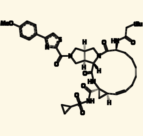 COc1ccc(-c2csc(C(=O)N3C[C@H]4CN5C(=O)[C@@H](NC(=O)CC(C)(C)C)CCCCC/C=C\[C@H]6C[C@@]6(C(=O)NS(=O)(=O)C6CC6)NC(=O)[C@@H]5[C@H]4C3)n2)cc1